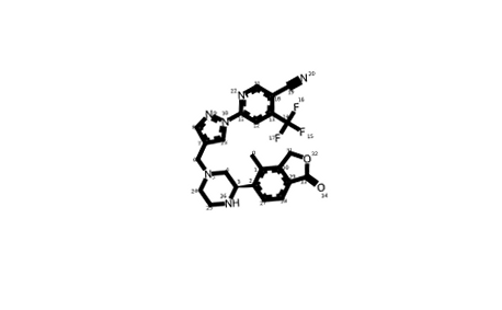 Cc1c([C@@H]2CN(Cc3cnn(-c4cc(C(F)(F)F)c(C#N)cn4)c3)CCN2)ccc2c1COC2=O